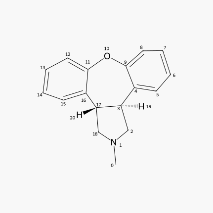 CN1C[C@@H]2c3ccccc3Oc3ccccc3[C@H]2C1